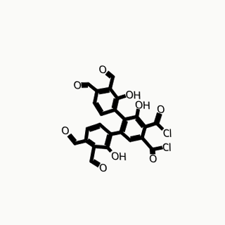 O=Cc1ccc(-c2cc(C(=O)Cl)c(C(=O)Cl)c(O)c2-c2ccc(C=O)c(C=O)c2O)c(O)c1C=O